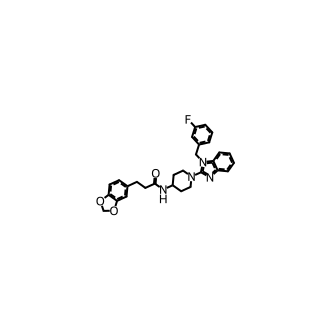 O=C(CCc1ccc2c(c1)OCO2)NC1CCN(c2nc3ccccc3n2Cc2cccc(F)c2)CC1